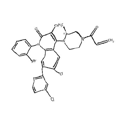 C=CC(=O)N1CCN(c2c(C#N)c(=O)n(-c3ccccc3C(C)C)c3cc(-c4cccc(Cl)c4)c(Cl)cc23)[C@@H](C)C1